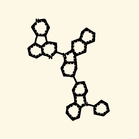 c1ccc(-n2c3ccccc3c3cc(-c4ccc5c(c4)c4cc6ccccc6cc4n5-c4cc5c6c(cccc6n4)-c4cnccc4-5)ccc32)cc1